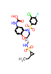 CCC1CC1S(=O)(=O)NC[C@H]1CN(S(=O)(=O)c2ccc(F)c(Cl)c2)c2cc(NC(=O)O)ccc2O1